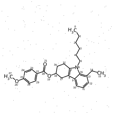 CCCCCCn1c2c(c3cccc(CC)c31)CC(OC(=O)c1ccc(OC)cc1)CC2